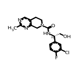 Cc1ncc2c(n1)CN(C(=O)N[C@H](CO)c1ccc(F)c(Cl)c1)CC2